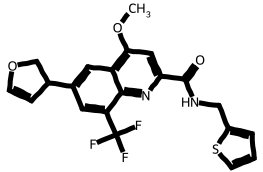 COc1cc(C(=O)NCc2cccs2)nc2c(C(F)(F)F)cc(C3C=COC3)cc12